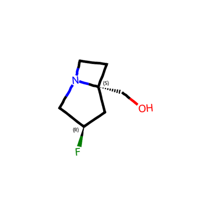 OC[C@@]12CCN1C[C@H](F)C2